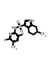 O=S(=O)(Nc1nc(F)c(C(F)(F)F)cc1F)c1c[nH]c2c1CCC(C(F)(F)F)C2